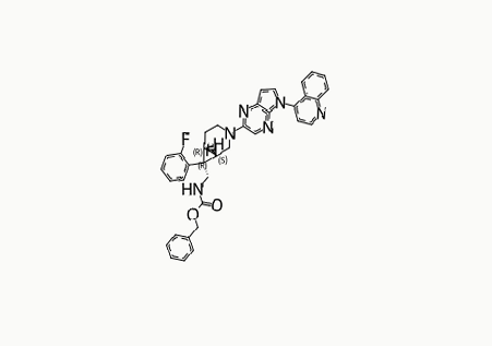 O=C(NC[C@]1(c2ccccc2F)[C@@H]2CCN(c3cnc4c(ccn4-c4ccnc5ccccc45)n3)C[C@@H]21)OCc1ccccc1